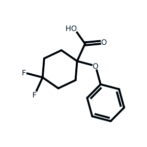 O=C(O)C1(Oc2ccccc2)CCC(F)(F)CC1